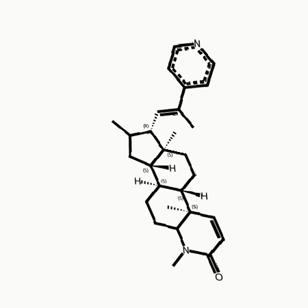 CC(=C[C@H]1C(C)C[C@H]2[C@@H]3CCC4N(C)C(=O)C=C[C@]4(C)[C@H]3CC[C@]12C)c1ccncc1